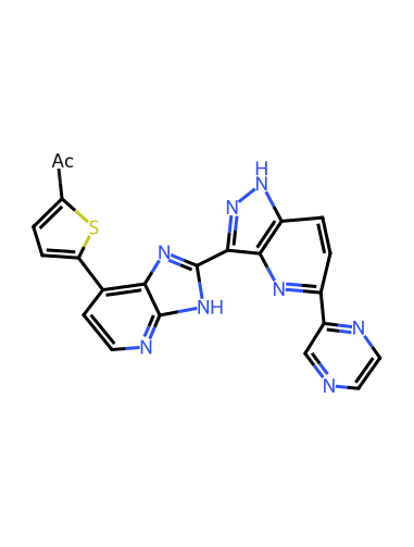 CC(=O)c1ccc(-c2ccnc3[nH]c(-c4n[nH]c5ccc(-c6cnccn6)nc45)nc23)s1